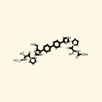 COC(=O)N[C@H](C(=O)N1CCC[C@H]1c1nc(-c2ccc(-c3ccc(-c4[nH]c([C@@H]5CCCN5C(=O)[C@@H](NC(=O)O)C(C)C)nc4CO)cc3)cc2)c[nH]1)C(C)C